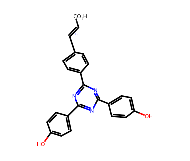 O=C(O)/C=C/c1ccc(-c2nc(-c3ccc(O)cc3)nc(-c3ccc(O)cc3)n2)cc1